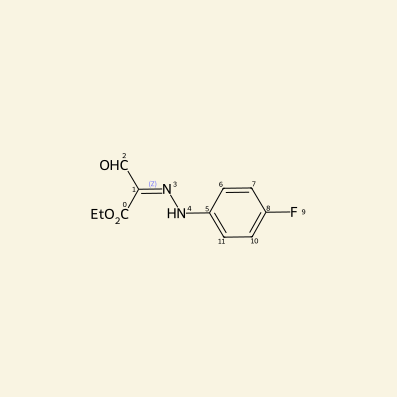 CCOC(=O)/C(C=O)=N\Nc1ccc(F)cc1